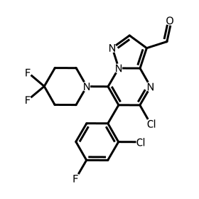 O=Cc1cnn2c(N3CCC(F)(F)CC3)c(-c3ccc(F)cc3Cl)c(Cl)nc12